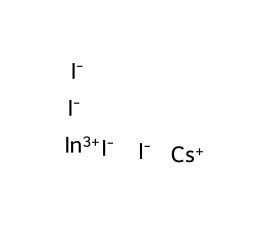 [Cs+].[I-].[I-].[I-].[I-].[In+3]